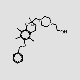 Cc1c(C)c2c(c(C)c1OCc1ccccc1)CC[C@@](C)(CN1CCN(CCO)CC1)O2